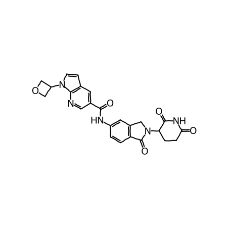 O=C1CCC(N2Cc3cc(NC(=O)c4cnc5c(ccn5C5COC5)c4)ccc3C2=O)C(=O)N1